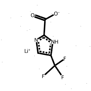 O=C([O-])c1ncc(C(F)(F)F)[nH]1.[Li+]